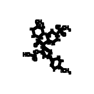 CC1CC=C(n2cc(OC(=O)O)c(N(C(=O)[C@H]3CC[C@H](C)CC3)C3CCN(S(C)(=O)=O)CC3)n2)CC1